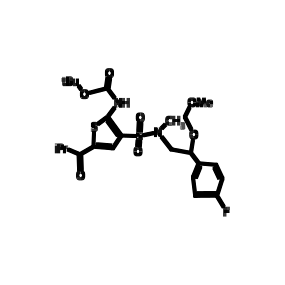 COCOC(CN(C)S(=O)(=O)c1cc(C(=O)C(C)C)sc1NC(=O)OC(C)(C)C)c1ccc(F)cc1